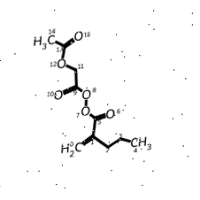 C=C(CCC)C(=O)OOC(=O)COC(C)=O